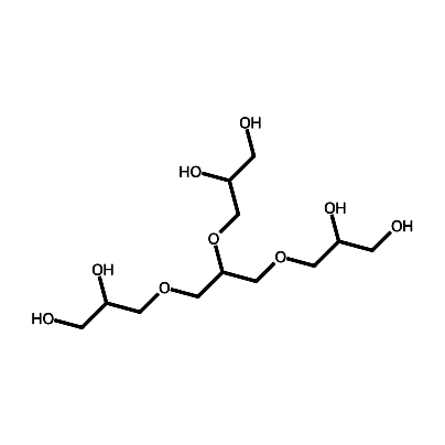 OCC(O)COCC(COCC(O)CO)OCC(O)CO